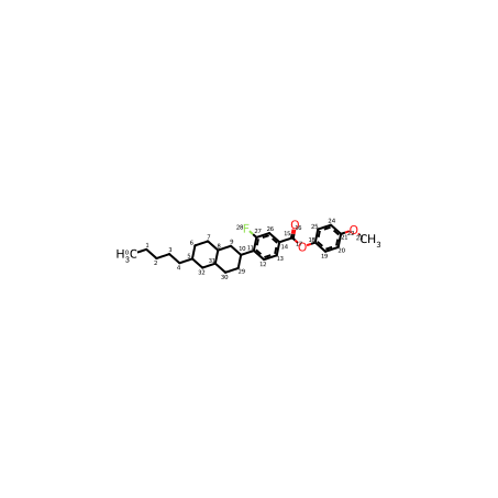 CCCCCC1CCC2CC(c3ccc(C(=O)Oc4ccc(OC)cc4)cc3F)CCC2C1